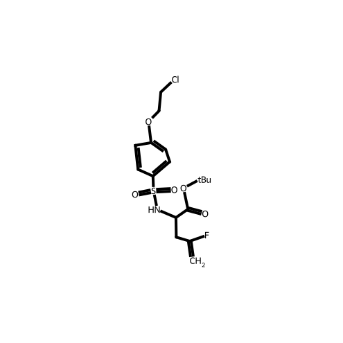 C=C(F)CC(NS(=O)(=O)c1ccc(OCCCl)cc1)C(=O)OC(C)(C)C